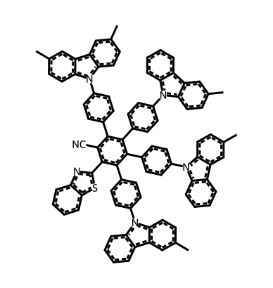 Cc1ccc2c(c1)c1ccccc1n2-c1ccc(-c2c(-c3ccc(-n4c5ccc(C)cc5c5cc(C)ccc54)cc3)c(C#N)c(-c3nc4ccccc4s3)c(-c3ccc(-n4c5ccccc5c5cc(C)ccc54)cc3)c2-c2ccc(-n3c4ccccc4c4cc(C)ccc43)cc2)cc1